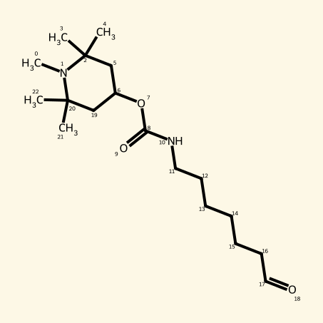 CN1C(C)(C)CC(OC(=O)NCCCCCCC=O)CC1(C)C